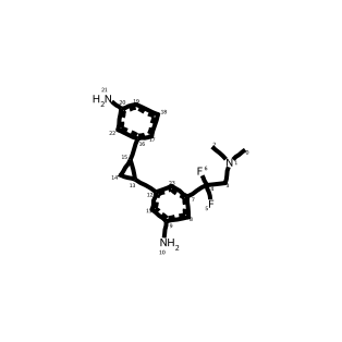 CN(C)CC(F)(F)c1cc(N)cc(C2CC2c2cccc(N)c2)c1